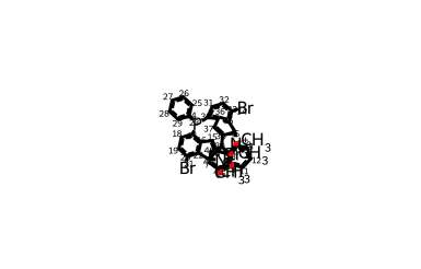 C[N+]1(C)[Zr][N+](C)(C)C2C(c3ccccc3)=Cc3c(ccc(Br)c32)P(c2ccccc2)c2ccc(Br)c3c2C=C(c2ccccc2)C31